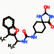 Cc1c(C(C)NC(=O)NC2CCC3(CC2)NC(O)NC3=O)oc2ccccc12